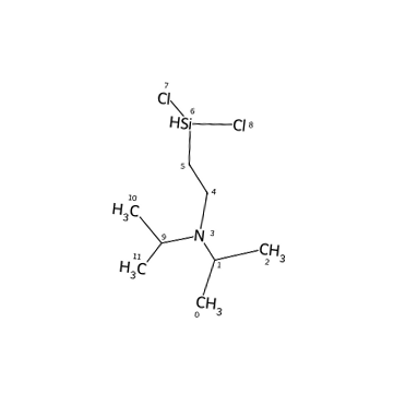 CC(C)N(CC[SiH](Cl)Cl)C(C)C